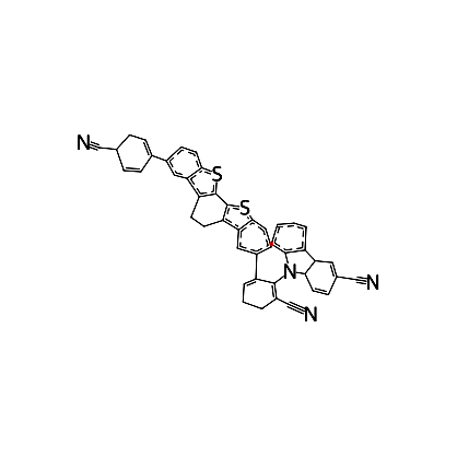 N#CC1=CC2c3ccccc3N(C3=C(C#N)CCC=C3c3ccc4sc5c(c4c3)CCc3c-5sc4ccc(C5=CCC(C#N)C=C5)cc34)C2C=C1